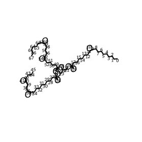 CCCCCCCCCC1OC1CCCCCCC(=O)OCC(COC(=O)CCCCCCCCC1OC1CCC1OC1CCC)OC(=O)CCCCC1OC1CCCC1OC1CCCCCC